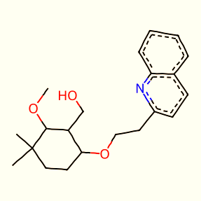 COC1C(CO)C(OCCc2ccc3ccccc3n2)CCC1(C)C